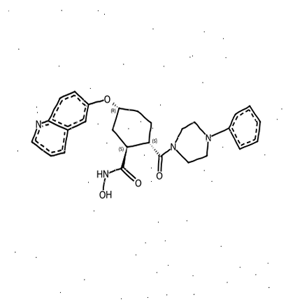 O=C(NO)[C@H]1C[C@H](Oc2ccc3ncccc3c2)CC[C@@H]1C(=O)N1CCN(c2ccccc2)CC1